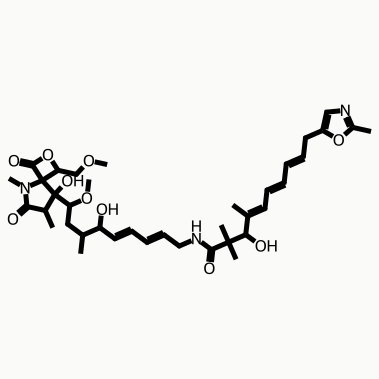 COCC1OC(=O)C12N(C)C(=O)C(C)C2(O)C(CC(C)C(O)/C=C/C=C/CNC(=O)C(C)(C)C(O)/C(C)=C/C=C/C=C/Cc1cnc(C)o1)OC